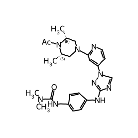 CC(=O)N1[C@H](C)CN(c2cc(-n3cnc(Nc4ccc(NC(=O)N(C)C)cc4)n3)ccn2)C[C@@H]1C